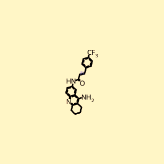 Nc1c2c(nc3ccc(NC(=O)/C=C/c4ccc(C(F)(F)F)cc4)cc13)CCCC2